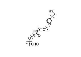 CC(C)CC(C)(C)c1cnn(CC(C)(C)OCC(C)(C)NC(=O)C(C)(C)C(C)(C)OC(C)(C)C(C)(C)C=O)c1